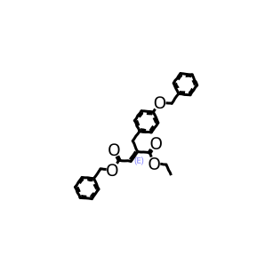 CCOC(=O)/C(=C/C(=O)OCc1ccccc1)Cc1ccc(OCc2ccccc2)cc1